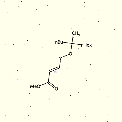 CCCCCCC(C)(CCCC)OC/C=C/C(=O)OC